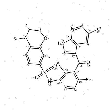 CN1CCOc2cc(S(=O)(=O)Nc3ccc(F)c(C(=O)c4c[nH]c5ncc(Cl)cc45)c3F)ccc21